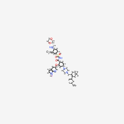 C=C(CC(C)C(C)C)C1=C(CN2CCN(c3ccc(C(=O)NS(=O)(=O)c4ccc(NC[C@H]5COCCO5)c([N+](=O)[O-])c4)c(Oc4cnc5c(ccn5I)c4)c3)CC2)CCC(C)(C)C1